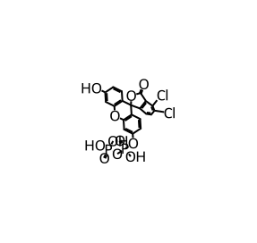 O=C1OC2(c3ccc(O)cc3Oc3cc(OP(=O)(O)OP(=O)(O)O)ccc32)c2ccc(Cl)c(Cl)c21